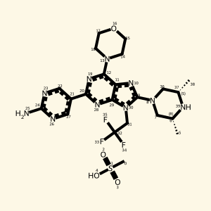 CS(=O)(=O)O.C[C@@H]1CN(c2nc3c(N4CCOCC4)nc(-c4cnc(N)nc4)nc3n2CC(F)(F)F)C[C@H](C)N1